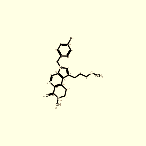 COCCCc1cn(Cc2ccc(F)cc2)c2cnc3c(c12)CCN(O)C3=O